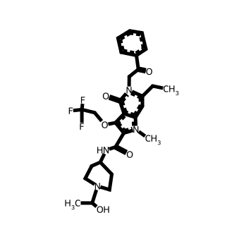 CCc1cc2c(c(OCC(F)(F)F)c(C(=O)NC3CCN(C(C)O)CC3)n2C)c(=O)n1CC(=O)c1ccccc1